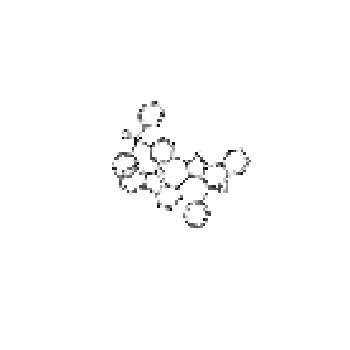 O=P(c1ccccc1)(c1ccccc1)c1ccc(-c2sc3c(c(-c4ccccc4)nc4ccccc43)c2-c2cccc3c2oc2ccccc23)cc1